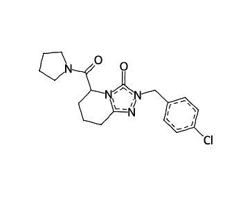 O=C(C1CCCc2nn(Cc3ccc(Cl)cc3)c(=O)n21)N1CCCC1